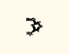 COc1nncc(C)n1